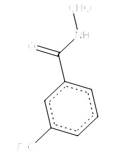 O=CNC(=O)c1cccc(C(F)(F)F)c1